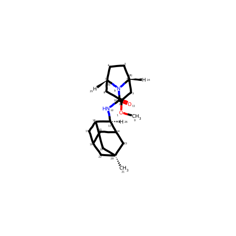 COC1C[C@H]2CC[C@@H](C1)N2C(=O)N[C@H]1C2CC3CC1C[C@](C)(C3)C2